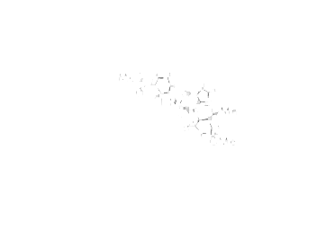 COC(=O)c1cccc(NC(=O)N2CCc3cc(OC)cc(OC)c3C2c2ccco2)c1